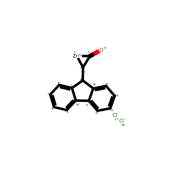 O=[C]1[Zr+2][CH]1C1c2ccccc2-c2ccccc21.[Cl-].[Cl-]